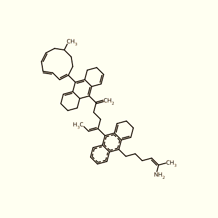 C=C(CC/C(=C\C)c1c2c(c(CCC/C=C(/C)N)c3ccccc13)=CCCC=2)C1=C2C=CCCC2=C(/C2=C/C=C/C=C\CC(C)CC2)C2=CCCCC21